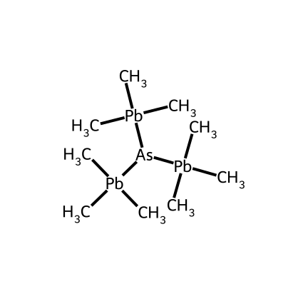 [CH3][Pb]([CH3])([CH3])[As]([Pb]([CH3])([CH3])[CH3])[Pb]([CH3])([CH3])[CH3]